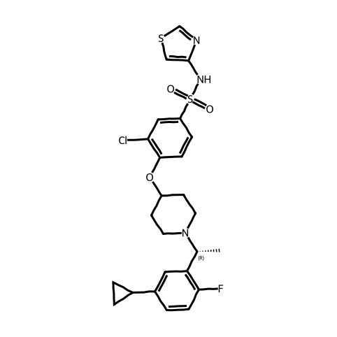 C[C@H](c1cc(C2CC2)ccc1F)N1CCC(Oc2ccc(S(=O)(=O)Nc3cscn3)cc2Cl)CC1